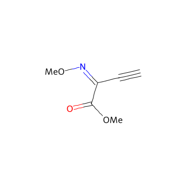 C#CC(=NOC)C(=O)OC